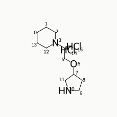 C1CCN(CCOC2CCNC2)CC1.Cl.Cl